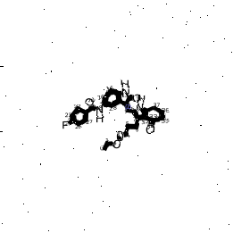 CCOOCCCc1c(/C=C2\C(=O)Nc3ccc(NC(=O)c4ccc(F)cc4)cc32)[nH]c2c1C(=O)CCC2